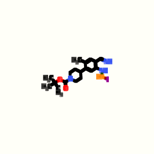 Cc1cc(C=N)c(NPI)cc1C1CCN(C(=O)OC(C)(C)C)CC1